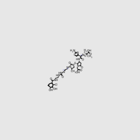 CC1CN(S[C@@H]2[C@H](NC(=O)/C(=N\OC(C)(C)C(=O)O)c3csc(N)n3)CC(=O)N2CC(=O)O)C(=O)N1/N=C/C=N/NC(=O)NCCNC(=O)c1ccc(O)c(O)c1Cl